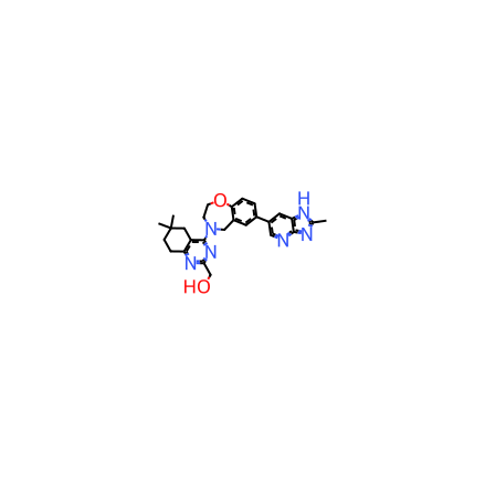 Cc1nc2ncc(-c3ccc4c(c3)CN(c3nc(CO)nc5c3CC(C)(C)CC5)CCO4)cc2[nH]1